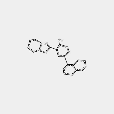 Nc1ncc(-c2cccc3ccccc23)cc1-c1nc2ccccc2o1